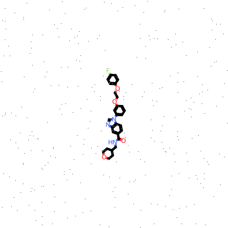 O=C(NCC1CCOCC1)c1ccc2c(c1)ncn2-c1cccc(OCCOc2ccc(F)cc2)c1